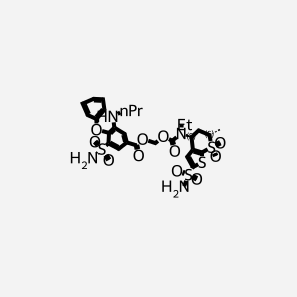 CCCNc1cc(C(=O)OCOC(=O)N(CC)[C@H]2C[C@H](C)S(=O)(=O)c3sc(S(N)(=O)=O)cc32)cc(S(N)(=O)=O)c1Oc1ccccc1